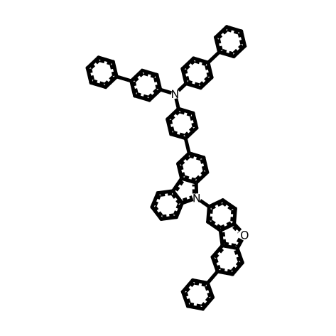 c1ccc(-c2ccc(N(c3ccc(-c4ccccc4)cc3)c3ccc(-c4ccc5c(c4)c4ccccc4n5-c4ccc5oc6ccc(-c7ccccc7)cc6c5c4)cc3)cc2)cc1